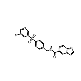 O=C(NCc1ccc(S(=O)(=O)c2cncc(F)c2)cc1)c1ccc2nccn2c1